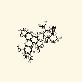 COc1cc(-c2c3c(c(O[C@@H]4O[C@@H]5CO[C@@H](C)O[C@H]5[C@H](O)[C@H]4N(C)C)c4cc5c(cc24)OCO5)COC3=O)cc(OC)c1O